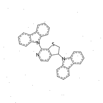 c1ccc2c(c1)c1ccccc1n2-c1nccc2c1SCC2n1c2ccccc2c2ccccc21